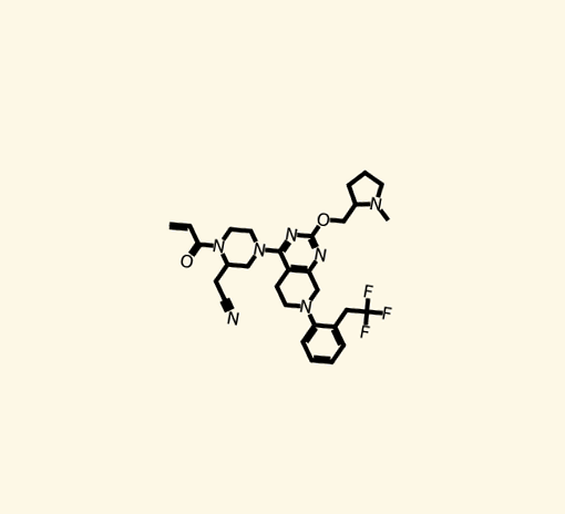 C=CC(=O)N1CCN(c2nc(OCC3CCCN3C)nc3c2CCN(c2ccccc2CC(F)(F)F)C3)CC1CC#N